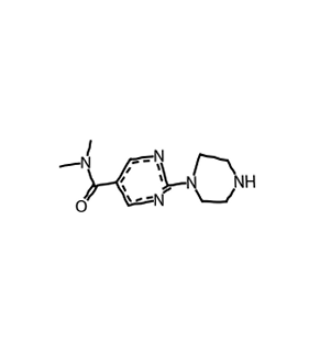 CN(C)C(=O)c1cnc(N2CCNCC2)nc1